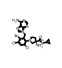 Nc1ncnc2c1ncn2Cc1c(Br)c(Cl)cc(Cl)c1N1CC[C@](N)(C(=O)NC2CC2)C1